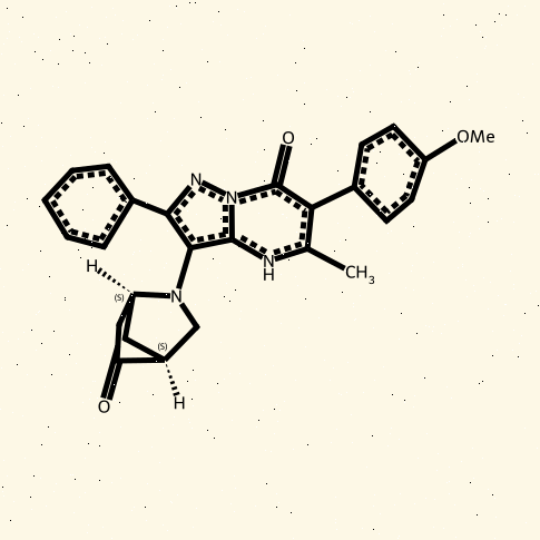 COc1ccc(-c2c(C)[nH]c3c(N4C[C@@H]5C[C@H]4CC5=O)c(-c4ccccc4)nn3c2=O)cc1